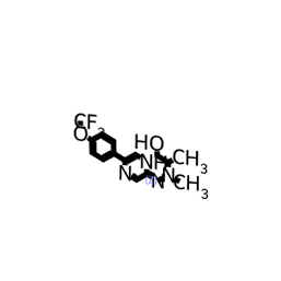 CC(CO)N(C)/N=c1/cnc(-c2ccc(OC(F)(F)F)cc2)c[nH]1